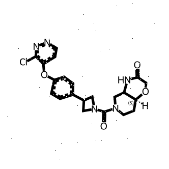 O=C1CO[C@H]2CCN(C(=O)N3CC(c4ccc(Oc5ccnnc5Cl)cc4)C3)CC2N1